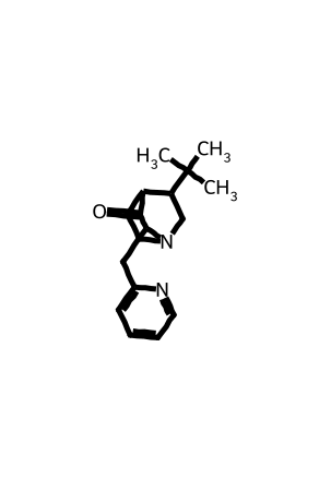 CC(C)(C)C1CN2CCC1C(=O)C2Cc1ccccn1